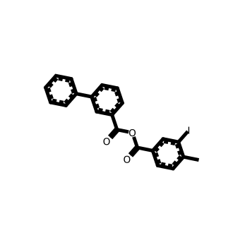 Cc1ccc(C(=O)OC(=O)c2cccc(-c3ccccc3)c2)cc1I